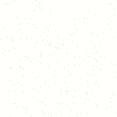 CCCCC(C)CC(CC(=O)O)CN(N)C(=O)CC(C)CC